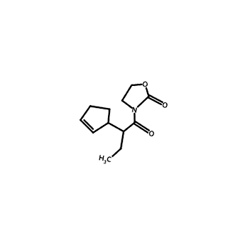 CCC(C(=O)N1CCOC1=O)C1C=CCC1